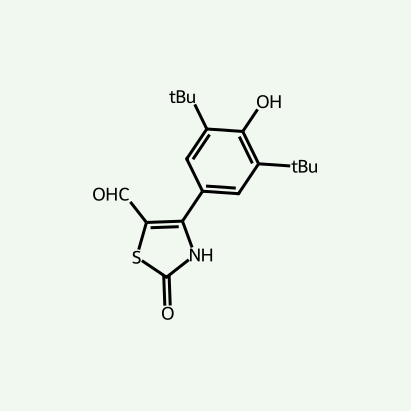 CC(C)(C)c1cc(-c2[nH]c(=O)sc2C=O)cc(C(C)(C)C)c1O